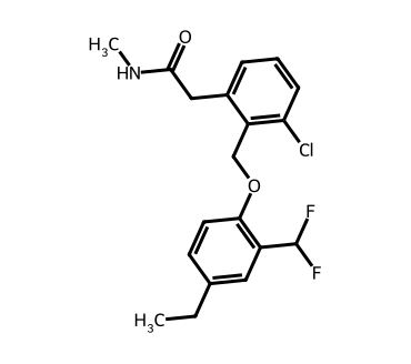 CCc1ccc(OCc2c(Cl)cccc2CC(=O)NC)c(C(F)F)c1